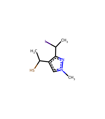 CC(S)c1cn(C)nc1C(C)I